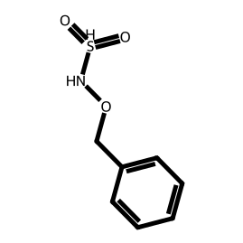 O=[SH](=O)NOCc1ccccc1